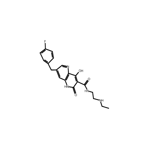 CCNCCNC(=O)c1c(O)c2ncc(Cc3ccc(F)cc3)cc2[nH]c1=O